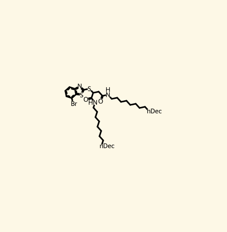 CCCCCCCCCCCCCCCCCCNC(=O)CC(Sc1nc2cccc(Br)c2s1)C(=O)NCCCCCCCCCCCCCCCCCC